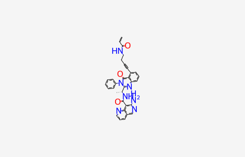 C=CC(=O)NCCC#Cc1cccc2nc([C@@H](C)NC(=O)c3c(N)ncc4cccnc34)n(-c3ccccc3)c(=O)c12